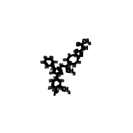 CC(=O)Nc1nc2c(s1)CCN(C(C)Cn1nc(-c3ccc(F)c(C)c3)cc1-c1ccccc1)CC2